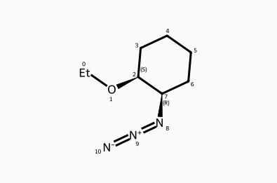 CCO[C@H]1CCCC[C@H]1N=[N+]=[N-]